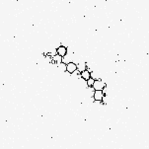 CN(C)c1ccccc1CN1CCC(c2cc3c(cc2F)C(=O)N(C2CCC(=O)NC2=O)C3)CC1